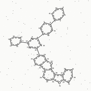 c1ccc(-c2ccc(-c3nc(-c4ccccc4)nc(-c4ccc5c(c4)oc4c5ccc5oc6ccccc6c54)n3)cc2)cc1